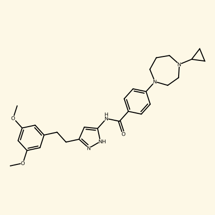 COc1cc(CCc2cc(NC(=O)c3ccc(N4CCCN(C5CC5)CC4)cc3)[nH]n2)cc(OC)c1